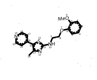 COc1ccccc1OCCNc1nc(C)c(-c2ccncc2)s1